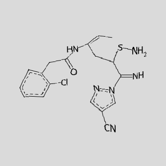 C/C=C(\CC(SN)C(=N)n1cc(C#N)cn1)NC(=O)Cc1ccccc1Cl